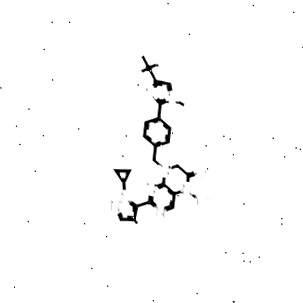 CC(C)N1C(=O)CN(Cc2ccc(-c3nc(C(C)(F)F)cn3C)cc2)c2nc(-c3c(Cl)cnn3C3CC3)ncc21